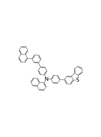 c1cc(-c2ccc(N(c3ccc(-c4ccc5sc6ccccc6c5c4)cc3)c3cccc4ccccc34)cc2)cc(-c2cccc3ccccc23)c1